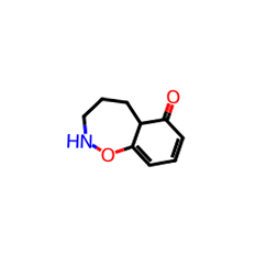 O=C1C=CC=C2ONCCCC12